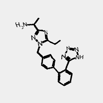 CCc1nc(C(C)N)nn1Cc1ccc(-c2ccccc2-c2nnn[nH]2)cc1